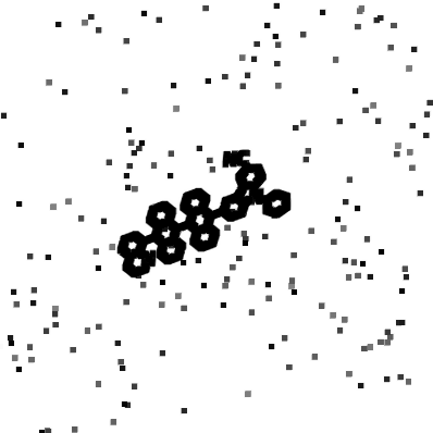 N#Cc1ccc2c(c1)c1cc(-c3c4ccccc4c(-c4c5ccccc5c(-c5cccc6cccnc56)c5ccccc45)c4ccccc34)ccc1n2-c1ccccc1